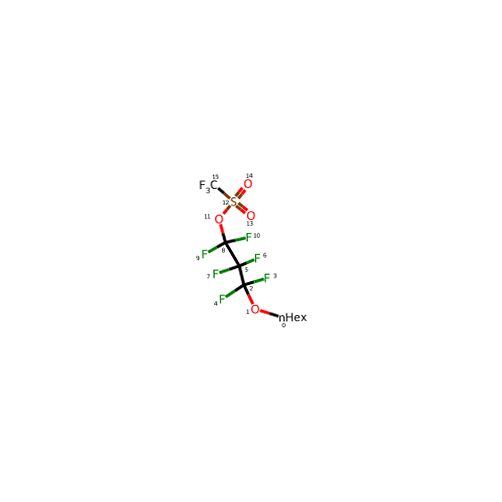 CCCCCCOC(F)(F)C(F)(F)C(F)(F)OS(=O)(=O)C(F)(F)F